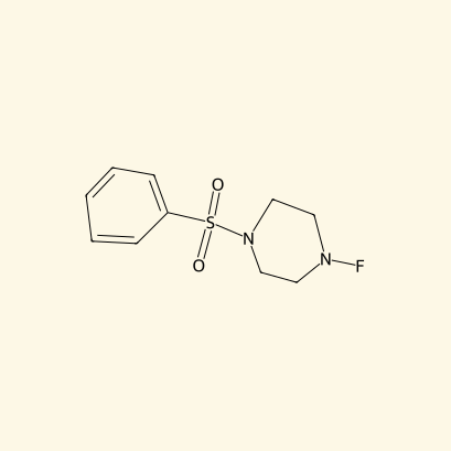 O=S(=O)(c1ccccc1)N1CCN(F)CC1